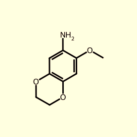 COc1cc2c(cc1N)OCCO2